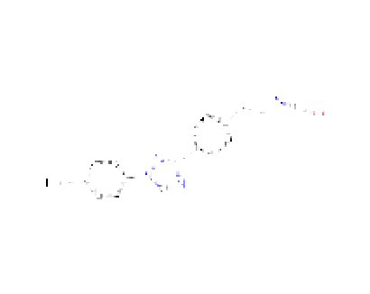 O=C=NCCc1ccc(-c2ncn(-c3ccc(C(F)(F)F)cc3)n2)cc1